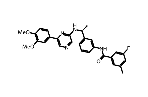 COc1ccc(-c2cncc(N[C@@H](C)c3cccc(NC(=O)c4cc(C)cc(F)c4)c3)n2)cc1OC